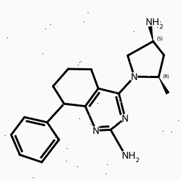 C[C@@H]1C[C@H](N)CN1c1nc(N)nc2c1CCCC2c1ccccc1